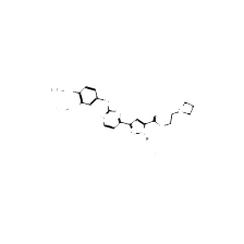 COc1ccc(Nc2nccc(-c3cc(C(=O)N[C@@H](C)CN4CCC4)n(C)n3)n2)cc1OC